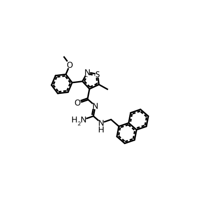 COc1ccccc1-c1nsc(C)c1C(=O)N=C(N)NCc1cccc2ccccc12